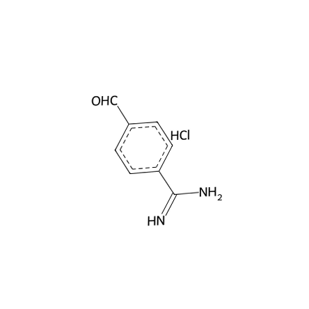 Cl.N=C(N)c1ccc(C=O)cc1